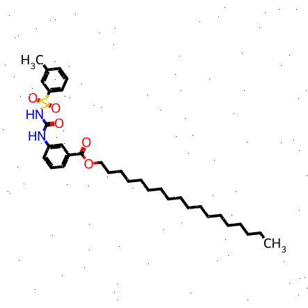 CCCCCCCCCCCCCCCCCCOC(=O)c1cccc(NC(=O)NS(=O)(=O)c2cccc(C)c2)c1